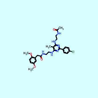 COc1ccc(OC)c(CC(=O)NCCNc2nc(-c3ccc(Cl)cc3)nc(NCCNC(C)=O)c2C)c1